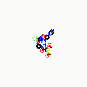 COc1cc(N2CCN(C)CC2)ccc1Nc1ncc(Cl)c(Oc2cccc(NC(=O)C(CSC(C)=O)CSC(C)=O)c2)n1